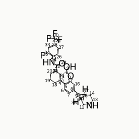 O=C(O)[C@@H]1[C@@H](c2ccc([C@@H]3[C@@H]4CNCC[C@@H]43)cc2)CCC[C@H]1C(=O)Nc1ccc(C(F)(F)F)cc1F